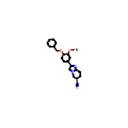 COc1cc(-c2cn3cc(C#N)ccc3n2)ccc1OCc1ccccc1